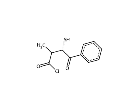 CC(C(=O)Cl)[C@H](S)C(=O)c1ccccc1